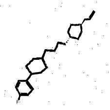 C=CC[C@H]1CC[C@H](CCCCC2CCC(c3ccc(F)cc3)CC2)CC1